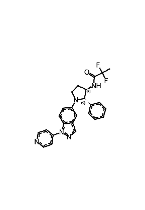 CC(F)(F)C(=O)N[C@@H]1CCN(c2ccc3c(cnn3-c3ccncc3)c2)[C@H]1c1ccccc1